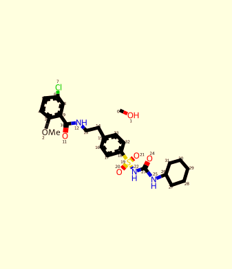 CO.COc1ccc(Cl)cc1C(=O)NCCc1ccc(S(=O)(=O)NC(=O)NC2CCCCC2)cc1